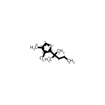 CCCC(C)(C)c1scc(C)c1Cl